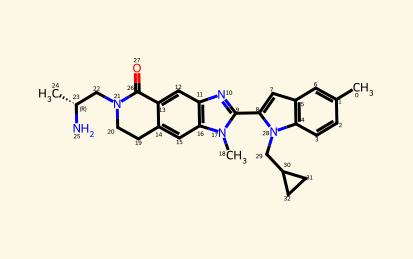 Cc1ccc2c(c1)cc(-c1nc3cc4c(cc3n1C)CCN(C[C@@H](C)N)C4=O)n2CC1CC1